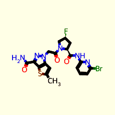 Cc1cc2c(s1)c(C(N)=O)nn2CC(=O)N1C[C@H](F)C[C@H]1C(=O)Nc1cccc(Br)n1